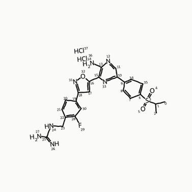 CC(C)S(=O)(=O)c1ccc(-c2cnc(N)c(-c3cc(-c4ccc(CNC(=N)N)c(F)c4)no3)n2)cc1.Cl.Cl